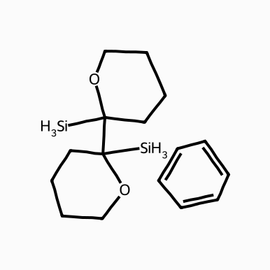 [SiH3]C1(C2([SiH3])CCCCO2)CCCCO1.c1ccccc1